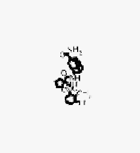 Cc1c(Cl)cccc1S(=O)(=O)NC1(C(=O)NC2C3CC4CC2CC(C(N)=O)(C4)C3)CCCC1